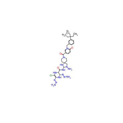 CCC(CC)(CC)c1cccc(Cn2cc(C(=O)N3CCC4(CC3)CN(N)C(NC(=O)C3NC(Cl)=C(N=NN)NC3N=NN)N4)ccc2=O)c1